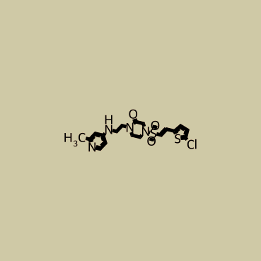 Cc1cc(NCCN2CCN(S(=O)(=O)C=Cc3ccc(Cl)s3)CC2=O)ccn1